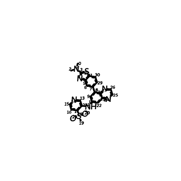 CN(C)c1nc2cc(-c3cc(Nc4cnccc4S(C)(=O)=O)cc4nccnc34)ccc2s1